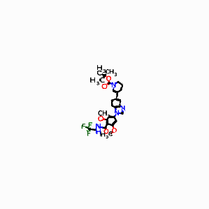 COc1cc(-n2cnc3cc(C4CCCN(C(=O)OC(C)(C)C)C4)ccc32)cc(OC)c1C(=O)NCC(F)(F)F